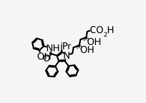 CC(C)c1c(C(=O)Nc2ccccc2O)c(-c2ccccc2)c(-c2ccccc2)n1CC[C@@H](O)C[C@@H](O)CC(=O)O